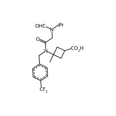 CC(C)N(C=O)CC(=O)N(Cc1ccc(C(F)(F)F)cc1)C1(C)CC(C(=O)O)C1